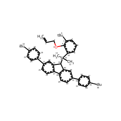 C=CCOc1c(C(C)(C)C)cccc1[Si](C)(C)C1c2cc(-c3ccc(C(C)CC)cc3)ccc2-c2ccc(-c3ccc(C(C)CC)cc3)cc21